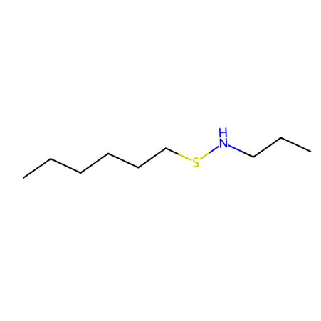 CCCCCCSNCCC